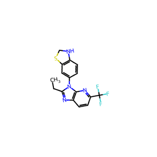 CCc1nc2ccc(C(F)(F)F)nc2n1-c1ccc2c(c1)SCN2